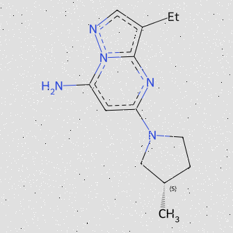 CCc1cnn2c(N)cc(N3CC[C@H](C)C3)nc12